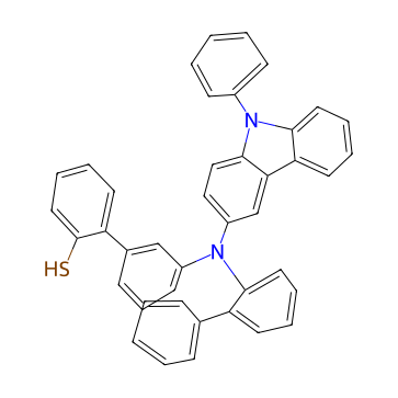 Sc1ccccc1-c1cccc(N(c2ccc3c(c2)c2ccccc2n3-c2ccccc2)c2ccccc2-c2ccccc2)c1